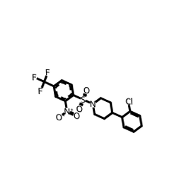 O=[N+]([O-])c1cc(C(F)(F)F)ccc1S(=O)(=O)N1CCC(C2C=CCC=C2Cl)CC1